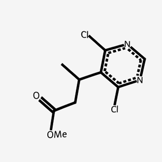 COC(=O)CC(C)c1c(Cl)ncnc1Cl